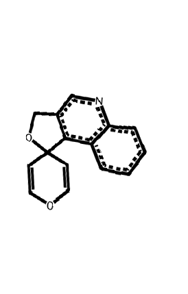 C1=CC2(C=CO1)OCc1cnc3ccccc3c12